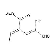 C/C=C(\C=C(\C=O)CCC)C(=O)OC